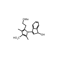 COCCc1c(C)c(C(=O)O)c(C)n1C1=CC(O)c2ccccc21